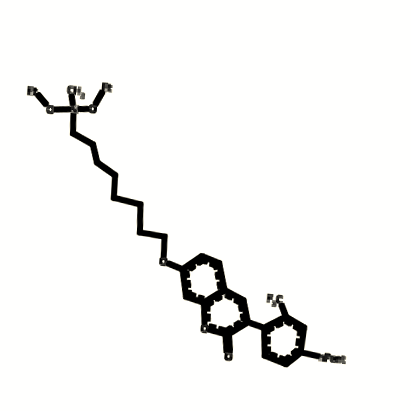 CCCCCc1ccc(-c2cc3ccc(OCCCCCCCC[Si](C)(OCC)OCC)cc3oc2=O)c(C(F)(F)F)c1